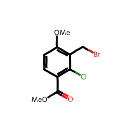 COC(=O)c1ccc(OC)c(CBr)c1Cl